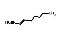 C#CC=CCCCCC